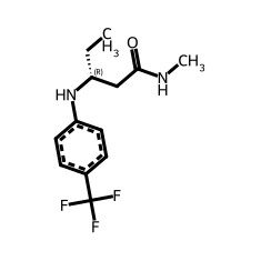 CC[C@H](CC(=O)NC)Nc1ccc(C(F)(F)F)cc1